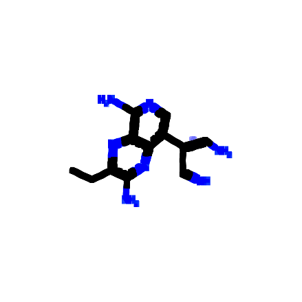 CCc1nc2c(N)ncc(/C(C=N)=C/N)c2nc1N